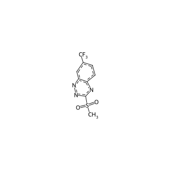 CS(=O)(=O)c1nnc2cc(C(F)(F)F)ccc2n1